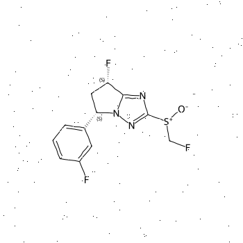 [O-][S+](CF)c1nc2n(n1)[C@H](c1cccc(F)c1)C[C@@H]2F